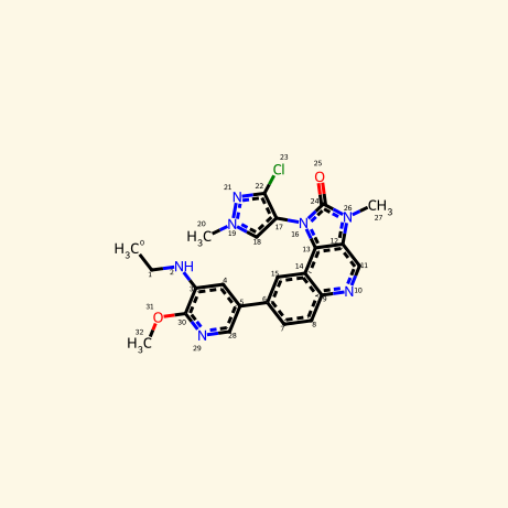 CCNc1cc(-c2ccc3ncc4c(c3c2)n(-c2cn(C)nc2Cl)c(=O)n4C)cnc1OC